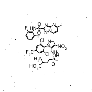 CP(=O)(O)CCC(N)C(=O)O.Cc1ccn2nc(S(=O)(=O)Nc3c(F)cccc3F)nc2n1.Nc1c([N+](=O)[O-])cnn1-c1c(Cl)cc(C(F)(F)F)cc1Cl